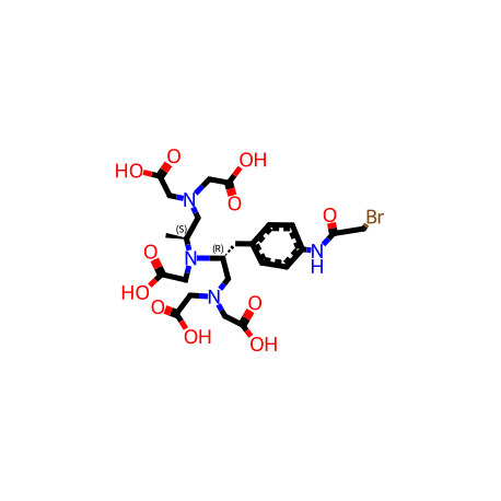 C[C@@H](CN(CC(=O)O)CC(=O)O)N(CC(=O)O)[C@H](Cc1ccc(NC(=O)CBr)cc1)CN(CC(=O)O)CC(=O)O